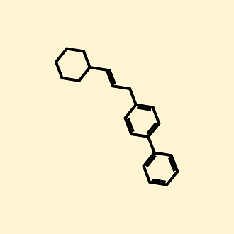 [CH](C=CC1CCCCC1)c1ccc(-c2ccccc2)cc1